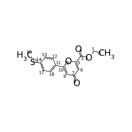 CCOC(=O)c1cc(=O)cc(-c2ccc(SC)cc2)o1